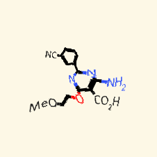 COCCOc1nc(-c2cccc(C#N)c2)nc(N)c1C(=O)O